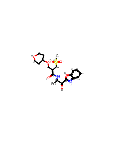 CCCC(NC(=O)C(COC1CCOCC1)CS(=O)(=O)CC)C(=O)c1nc2ccccc2o1